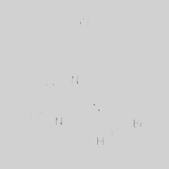 CCCCN1C(=O)c2c(c(C)cn2C)N(C(=O)CBr)c2ccccc21